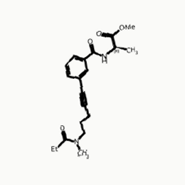 CCC(=O)N(C)CCCC#Cc1cccc(C(=O)N[C@H](C)C(=O)OC)c1